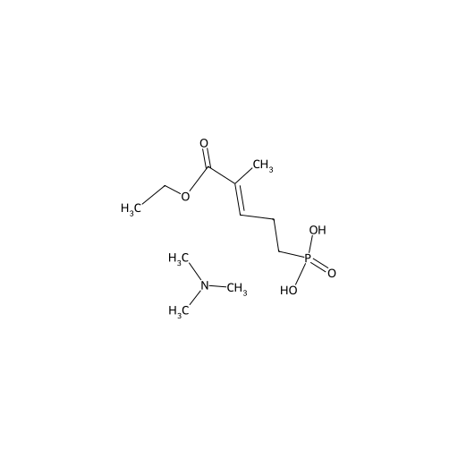 CCOC(=O)C(C)=CCCP(=O)(O)O.CN(C)C